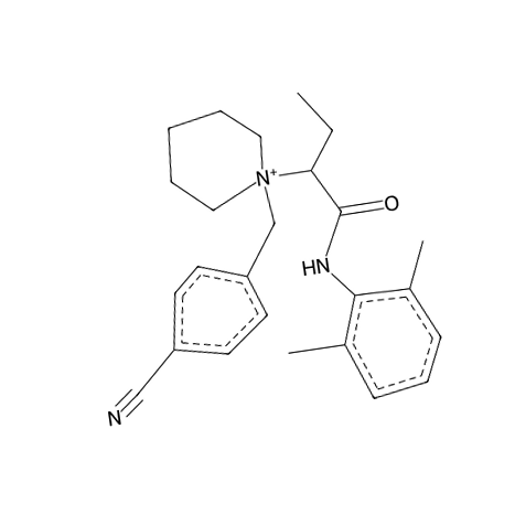 CCC(C(=O)Nc1c(C)cccc1C)[N+]1(Cc2ccc(C#N)cc2)CCCCC1